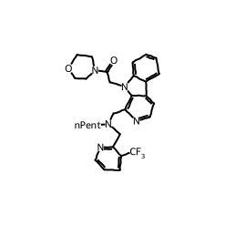 CCCCCN(Cc1ncccc1C(F)(F)F)Cc1nccc2c3ccccc3n(CC(=O)N3CCOCC3)c12